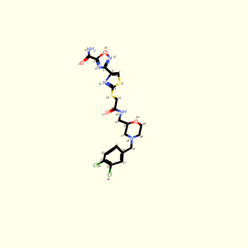 NC(=O)c1nc(-c2csc(SCC(=O)NCC3CN(Cc4ccc(Cl)c(Cl)c4)CCO3)n2)no1